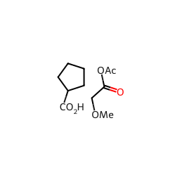 COCC(=O)OC(C)=O.O=C(O)C1CCCC1